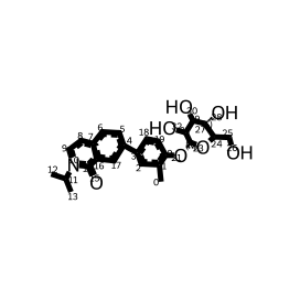 Cc1cc(-c2ccc3ccn(C(C)C)c(=O)c3c2)ccc1O[C@H]1OC(CO)[C@@H](O)C(O)C1O